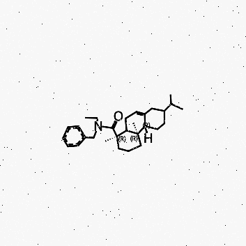 CCN(Cc1ccccc1)C(=O)[C@]1(C)CCC[C@@]2(C)C1CC=C1CC(C(C)C)CC[C@@H]12